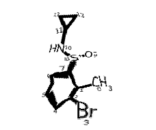 Cc1c(Br)cccc1[S+]([O-])NC1CC1